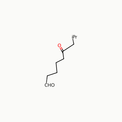 CC(C)CC(=O)CCCCC=O